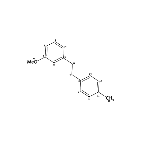 COc1cc[c]c(CCc2ccc(C)cc2)c1